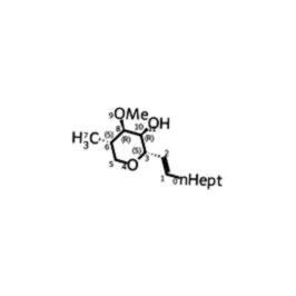 CCCCCCCC=C[C@@H]1OC[C@H](C)[C@@H](OC)[C@H]1O